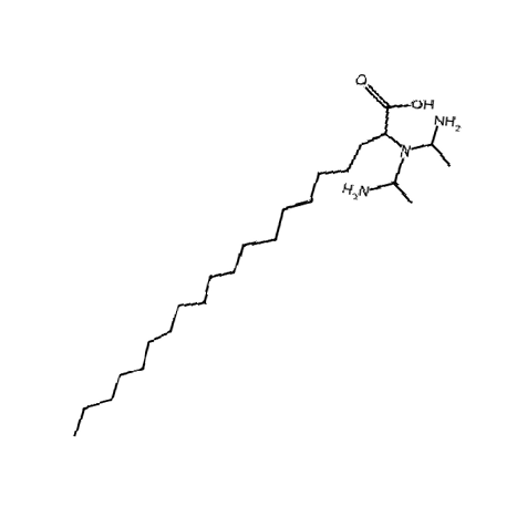 CCCCCCCCCCCCCCCCCCC(C(=O)O)N(C(C)N)C(C)N